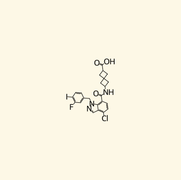 O=C(NC1CC2(C1)CC(C(=O)O)C2)c1ccc(Cl)c2cnn(Cc3ccc(I)c(F)c3)c12